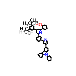 CC(C)(C)c1cc(-c2cc(-c3cccc(-c4cc(-c5ccc6c(c5)c5ccccc5n6-c5ccccc5)ccn4)c3)nc(-c3ccccc3O)c2)cc(C(C)(C)C)c1